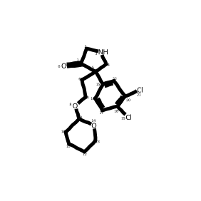 O=C1CNCC1(CCOC1CCCCO1)c1ccc(Cl)c(Cl)c1